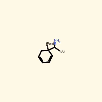 CCCC(C)C1(C(N)C(C)CC)C=CC=[C]C1